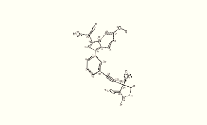 COc1ccc2c(-c3cccc(C#C[C@]4(O)CCN(C)C4=O)c3)nc(C(N)=O)n2c1